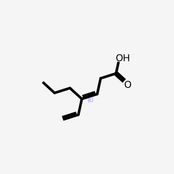 C=C/C(=C/CC(=O)O)CCC